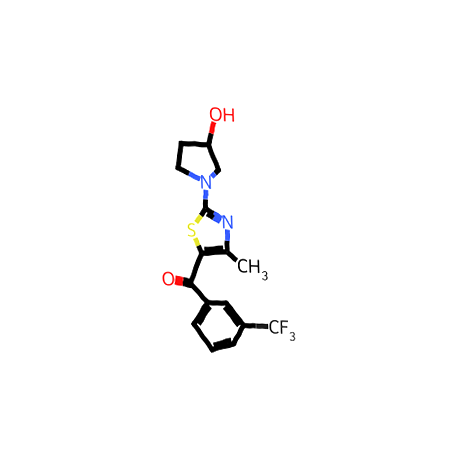 Cc1nc(N2CCC(O)C2)sc1C(=O)c1cccc(C(F)(F)F)c1